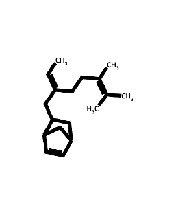 C/C=C(\CCC(C)=C(C)C)CC1CC2C=CC1C2